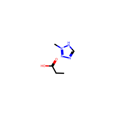 CCC(=O)O.C[n+]1nnc[nH]1